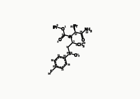 CC(C)OC(=O)N(C(C)C[S+]([O-])c1ccc(F)cc1)[C@H](C(N)=O)C(C)C